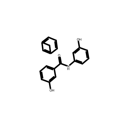 O=C(Nc1cccc(O)c1)c1cccc(O)c1.c1cc2cc(c1)C2